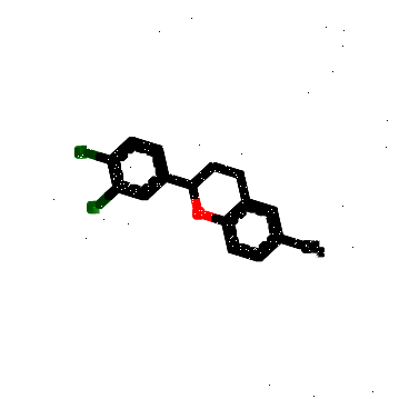 Cc1ccc2c(c1)CCC(c1ccc(Cl)c(Cl)c1)O2